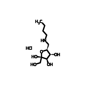 CCCCNC[C@H]1O[C@@](O)(CO)[C@H](O)[C@H]1O.Cl